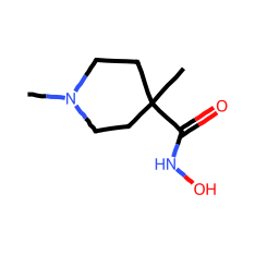 CN1CCC(C)(C(=O)NO)CC1